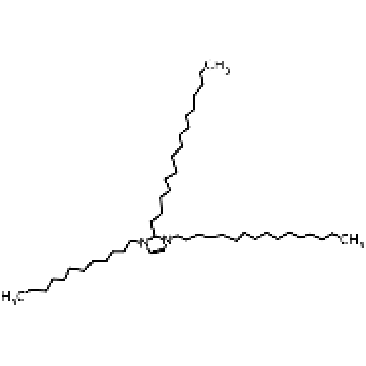 CCCCCCCCCCCCCCCCC1N(CCCCCCCCCCCC)C=CN1CCCCCCCCCCCCCCCC